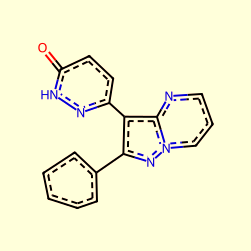 O=c1ccc(-c2c(-c3ccccc3)nn3cccnc23)n[nH]1